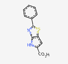 O=C(O)c1cc2sc(-c3ccccc3)nc2[nH]1